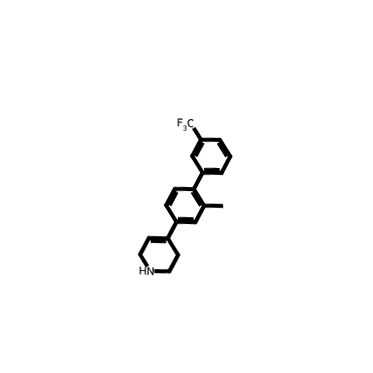 Cc1cc(C2=CCNCC2)ccc1-c1cccc(C(F)(F)F)c1